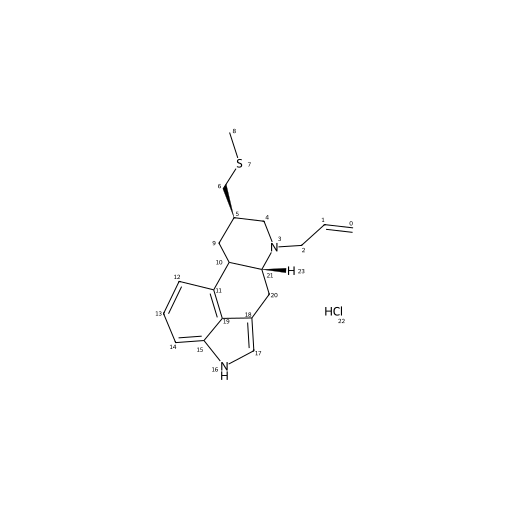 C=CCN1C[C@H](CSC)CC2c3cccc4[nH]cc(c34)C[C@H]21.Cl